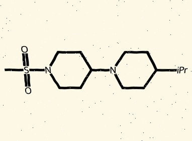 CC(C)C1CCN(C2CCN(S(C)(=O)=O)CC2)CC1